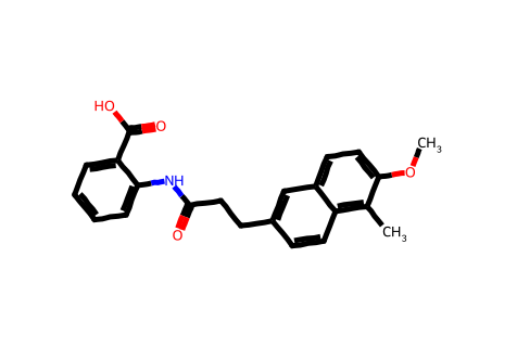 COc1ccc2cc(CCC(=O)Nc3ccccc3C(=O)O)ccc2c1C